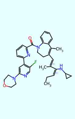 CC/C=C(NC1CC1)\C(C)=C\C1=C(C)c2ccccc2N(C(=O)c2cccc(-c3cc(N4CCOCC4)ncc3F)n2)CC1